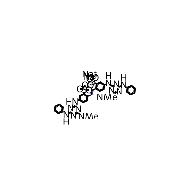 CNc1nc(Nc2ccccc2)nc(Nc2ccc(/C=C/c3ccc(Nc4nc(NC)nc(Nc5ccccc5)n4)cc3S(=O)(=O)[O-])c(S(=O)(=O)[O-])c2)n1.[Na+].[Na+]